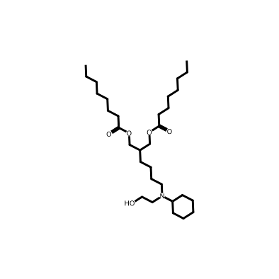 CCCCCCCC(=O)OCC(CCCCN(CCO)C1CCCCC1)COC(=O)CCCCCCC